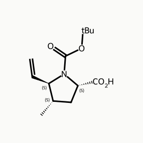 C=C[C@@H]1[C@@H](C)C[C@@H](C(=O)O)N1C(=O)OC(C)(C)C